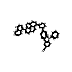 N#Cc1ccc2c(c1)c1ccc(-c3cccc(-c4ccc5ccc6c(-c7cccc8ccccc78)ccc7ccc4c5c76)c3)cc1n2-c1ccccc1